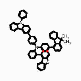 CC1(C)c2ccccc2-c2c(-c3ccc(N(c4ccc(-c5ccc6c(c5)c5ccccc5n6-c5ccccc5)cc4)c4ccccc4-c4cccc5sc6ccccc6c45)cc3)cccc21